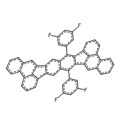 Fc1cc(F)cc(-c2c3cc4c(cc3c(-c3cc(F)cc(F)c3)c3c5cc6ccccc6c6cccc(c23)c65)c2cccc3c5ccccc5cc4c32)c1